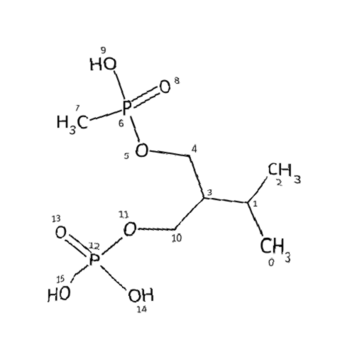 CC(C)C(COP(C)(=O)O)COP(=O)(O)O